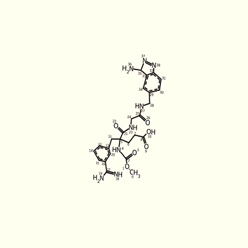 COC(=O)NC(CCC(=O)O)(Cc1cccc(C(=N)N)c1)C(=O)NCC(=O)NCc1ccc2c(c1)C(N)N=N2